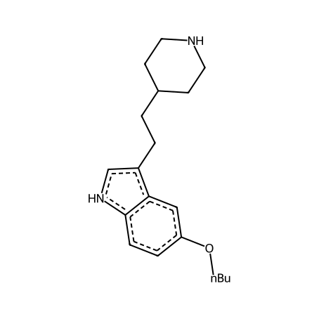 CCCCOc1ccc2[nH]cc(CCC3CCNCC3)c2c1